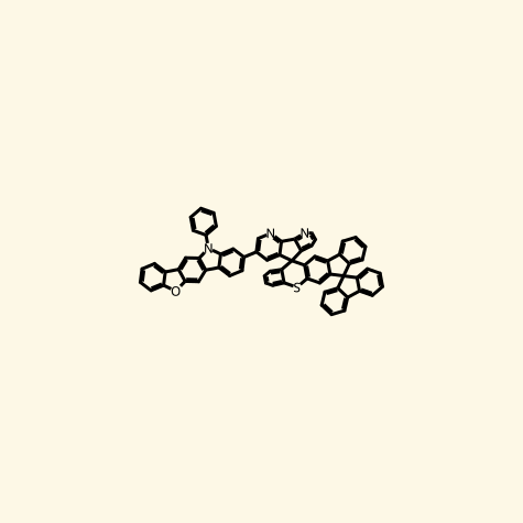 c1ccc(-n2c3cc(-c4cnc5c(c4)C4(c6ccccc6Sc6cc7c(cc64)-c4ccccc4C74c6ccccc6-c6ccccc64)c4cccnc4-5)ccc3c3cc4oc5ccccc5c4cc32)cc1